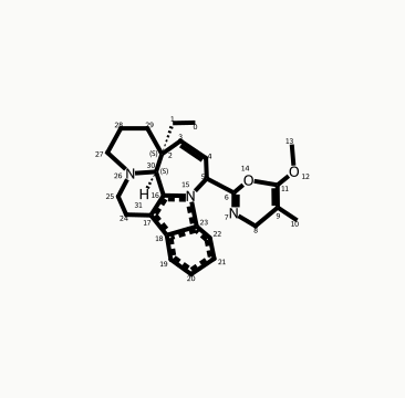 CC[C@@]12C=CC(C3=NCC(C)=C(OC)O3)n3c4c(c5ccccc53)CCN(CCC1)[C@H]42